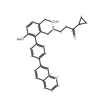 COc1ccc(CC(=O)O)c(CNCCC(=O)C2CC2)c1-c1ccc(-c2ccc3cccnc3c2)cc1